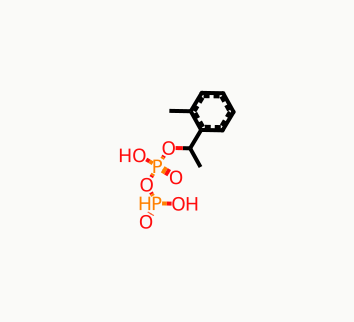 Cc1ccccc1C(C)OP(=O)(O)O[PH](=O)O